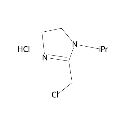 CC(C)N1CCN=C1CCl.Cl